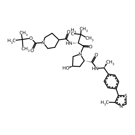 Cc1ncsc1-c1ccc([C@H](C)NC(=O)[C@@H]2C[C@@H](O)CN2C(=O)[C@H](NC(=O)C2CCN(C(=O)OC(C)(C)C)CC2)C(C)(C)C)cc1